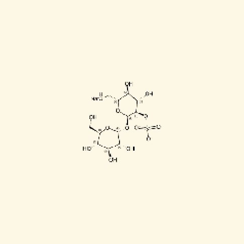 O=S(=O)([O-])O[C@H]1[C@@H](O[C@H]2O[C@H](CO)[C@@H](O)[C@H](O)[C@H]2O)O[C@H](CO)[C@@H](O)[C@@H]1O.[Na+]